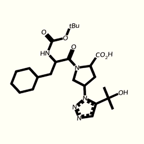 CC(C)(C)OC(=O)NC(CC1CCCCC1)C(=O)N1CC(n2nncc2C(C)(C)O)CC1C(=O)O